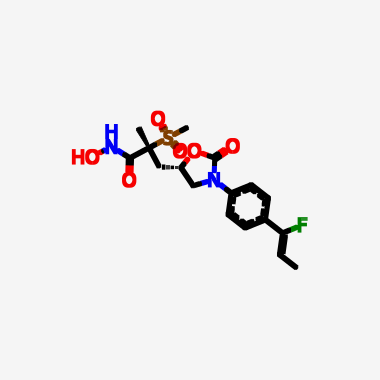 CC=C(F)c1ccc(N2C[C@H](C[C@](C)(C(=O)NO)S(C)(=O)=O)OC2=O)cc1